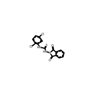 O=C1c2ccccc2C(=O)N1NC(=S)Nc1cc(Cl)ccc1Cl